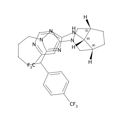 FC(F)(F)c1ccc(C2CCCCn3nc(N[C@H]4[C@@H]5CC[C@H]4CN(c4ccnc(C(F)(F)F)c4)C5)nc32)cc1